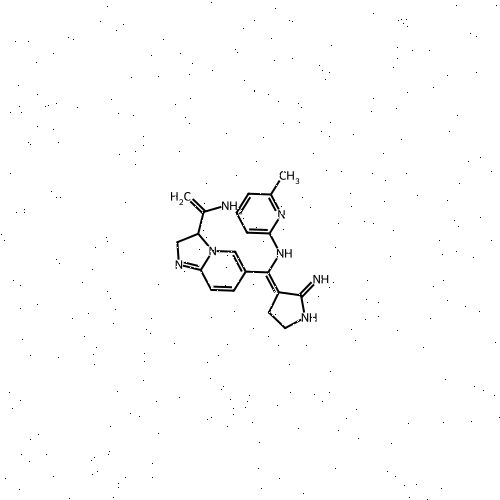 C=C(N)C1CN=C2C=CC(/C(Nc3cccc(C)n3)=C3\CCNC3=N)=CN21